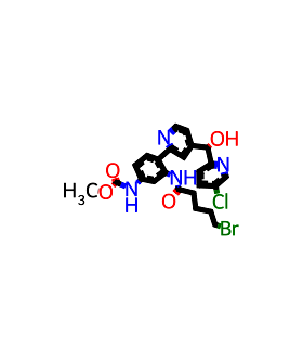 COC(=O)Nc1ccc(-c2cc(C(O)c3ccc(Cl)cn3)ccn2)c(NC(=O)CCCCBr)c1